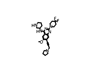 COc1cc2c(NC3CCCNC3)nc(N3CCC(F)(F)CC3)nc2cc1C#CCN1CCCC1